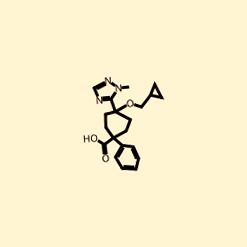 Cn1ncnc1C1(OCC2CC2)CCC(C(=O)O)(c2ccccc2)CC1